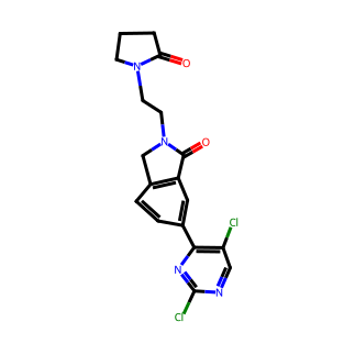 O=C1CCCN1CCN1Cc2ccc(-c3nc(Cl)ncc3Cl)cc2C1=O